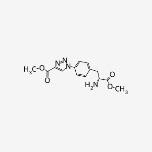 COC(=O)c1cn(-c2ccc(C[C@H](N)C(=O)OC)cc2)nn1